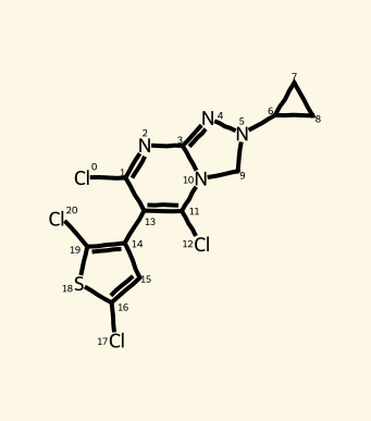 ClC1=NC2=NN(C3CC3)CN2C(Cl)=C1c1cc(Cl)sc1Cl